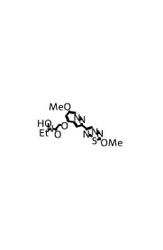 CCN(O)C(=O)COc1cc(OC)cn2nc(-c3cn4nc(OC)sc4n3)cc12